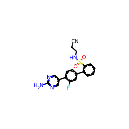 N#CCCNS(=O)(=O)c1ccccc1-c1ccc(-c2cnc(N)nc2)c(F)c1